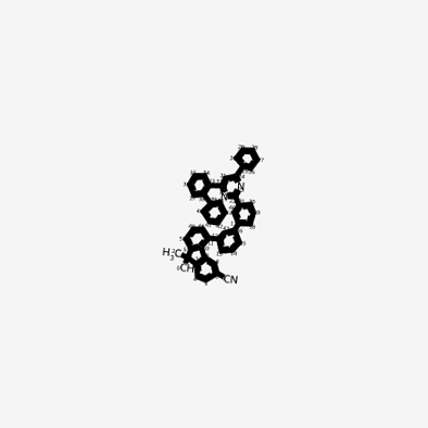 CC1(C)c2ccc(C#N)cc2-c2c(-c3cccc(-c4cccc(-c5nc(-c6ccccc6)cc(-c6ccccc6-c6ccccc6)n5)c4)c3)cccc21